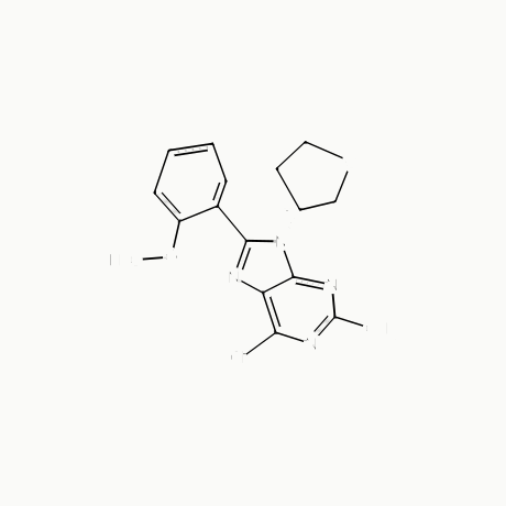 COc1ccccc1-c1nc2c(Cl)nc(C)nc2n1[C@@H]1CCOC1